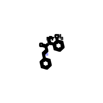 CCCN(C(=O)/C=C/c1ccccc1)c1ccccc1C